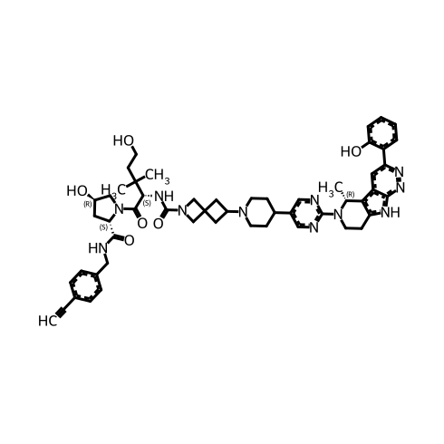 C#Cc1ccc(CNC(=O)[C@@H]2C[C@@H](O)CN2C(=O)[C@@H](NC(=O)N2CC3(CC(N4CCC(c5cnc(N6CCc7[nH]c8nnc(-c9ccccc9O)cc8c7[C@H]6C)nc5)CC4)C3)C2)C(C)(C)CCO)cc1